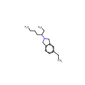 CCCCC(CC)N1Cc2ccc(CC)cc2C1